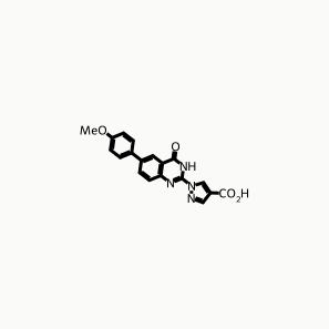 COc1ccc(-c2ccc3nc(-n4cc(C(=O)O)cn4)[nH]c(=O)c3c2)cc1